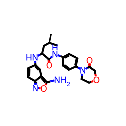 CC(C)CC(Nc1ccc2noc(N)c2c1)C(=O)Nc1ccc(N2CCOCC2=O)cc1